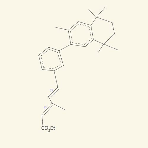 CCOC(=O)/C=C(C)/C=C/c1cccc(-c2cc3c(cc2C)C(C)(C)CCC3(C)C)c1